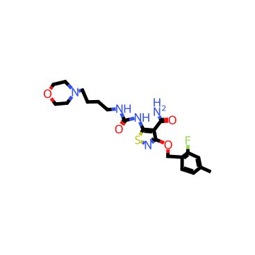 Cc1ccc(COc2nsc(NC(=O)NCCCCN3CCOCC3)c2C(N)=O)c(F)c1